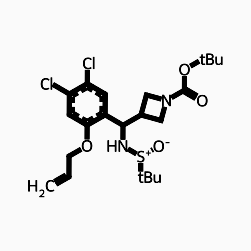 C=CCOc1cc(Cl)c(Cl)cc1C(N[S+]([O-])C(C)(C)C)C1CN(C(=O)OC(C)(C)C)C1